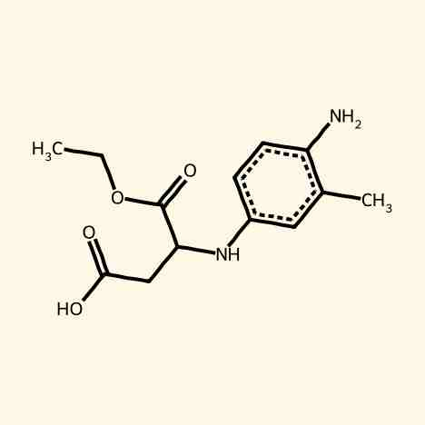 CCOC(=O)C(CC(=O)O)Nc1ccc(N)c(C)c1